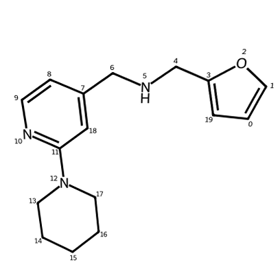 c1coc(CNCc2ccnc(N3CCCCC3)c2)c1